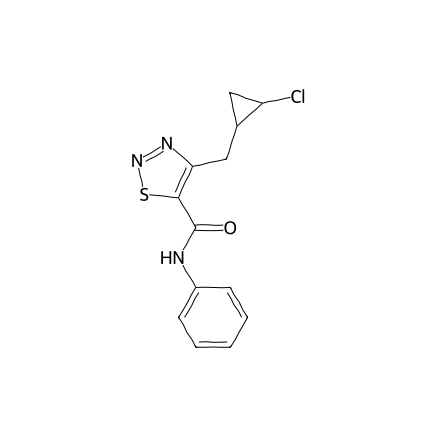 O=C(Nc1ccccc1)c1snnc1CC1CC1Cl